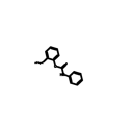 CCCCCCCc1ccccc1OC(=O)Nc1ccccc1